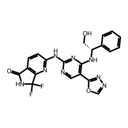 O=C1NC(F)(F)c2nc(Nc3ncc(-c4nnco4)c(N[C@H](CO)c4ccccc4)n3)ccc21